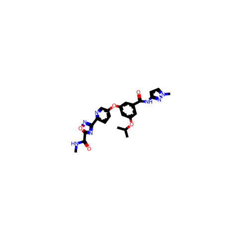 CNC(=O)c1nc(-c2ccc(Oc3cc(OC(C)C)cc(C(=O)Nc4ccn(C)n4)c3)cn2)no1